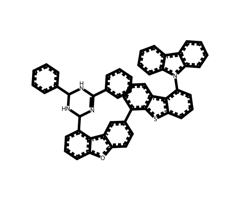 c1ccc(C2=NC(c3cccc4oc5ccc(-c6cccc7c6sc6cccc(-n8c9ccccc9c9ccccc98)c67)cc5c34)NC(c3ccccc3)N2)cc1